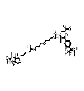 COC(=O)CC[C@H](NC(=O)c1ccc(C2(C(F)(F)F)NN2)cc1)C(=O)NCCCOCCCNC(=O)CCCC[C@@H]1SC[C@@H]2NC(=O)N[C@@H]21